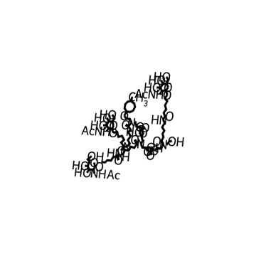 CC(=O)NC1C(OCCCCCC(=O)NCCCCCC(=O)N(CCO)CCOP(=O)(O)OCCN(CCOP(=O)(O)OCCN(CCOC2CCCCC(C)CCC2)C(=O)CCCCCNC(=O)CCCCCOC2OC(CO)C(O)C(O)C2NC(C)=O)C(=O)CCCCCNC(=O)CCCCCOC2OC(CO)C(O)C(O)C2NC(C)=O)OC(CO)C(O)C1O